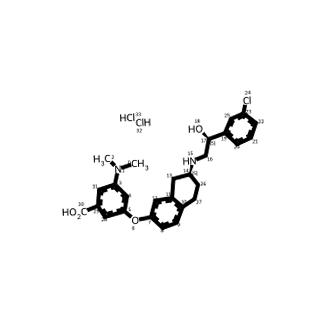 CN(C)c1cc(Oc2ccc3c(c2)C[C@@H](NC[C@@H](O)c2cccc(Cl)c2)CC3)cc(C(=O)O)c1.Cl.Cl